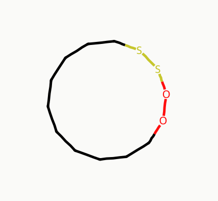 C1CCCCCSSOOCCCC1